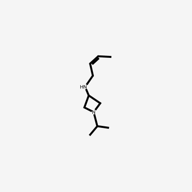 C/C=C\CNC1CN(C(C)C)C1